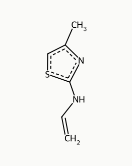 C=CNc1nc(C)cs1